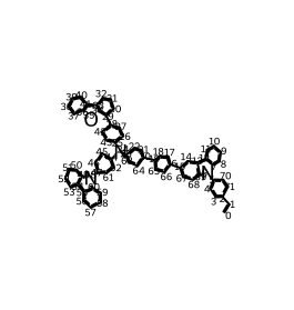 C=Cc1ccc(-n2c3ccccc3c3cc(-c4ccc(-c5ccc(N(c6ccc(-c7cccc8c7oc7ccccc78)cc6)c6ccc(-n7c8ccccc8c8ccccc87)cc6)cc5)cc4)ccc32)cc1